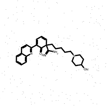 N=C(N)C1(CCCCCN2CCC(O)CC2)C=CC=C(c2ccc3ccccc3n2)C1=O